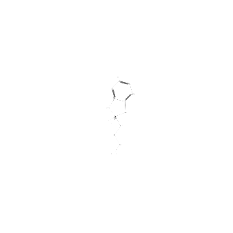 OCCCC1(O)Cc2ccccc2C1